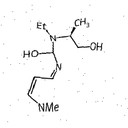 CCN(C(O)/N=C\C=C/NC)[C@@H](C)CO